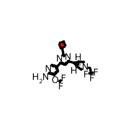 Nc1ncc(-c2cc(C3[C@H]4CN(CC(F)(F)F)C[C@@H]34)nc(N3CC4CC3C4)n2)cc1OC(F)F